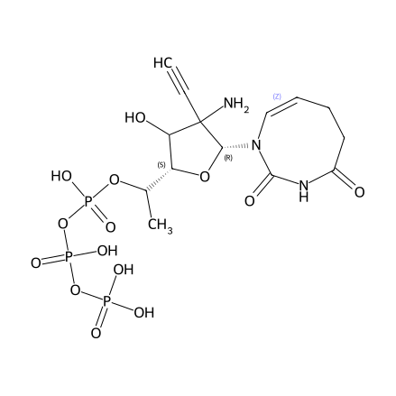 C#CC1(N)C(O)[C@@H](C(C)OP(=O)(O)OP(=O)(O)OP(=O)(O)O)O[C@H]1N1/C=C\CCC(=O)NC1=O